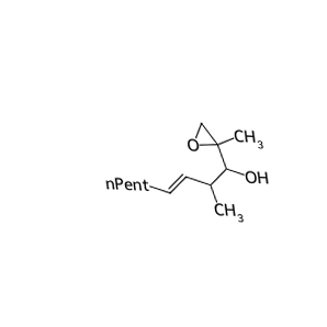 CCCCCC=CC(C)C(O)C1(C)CO1